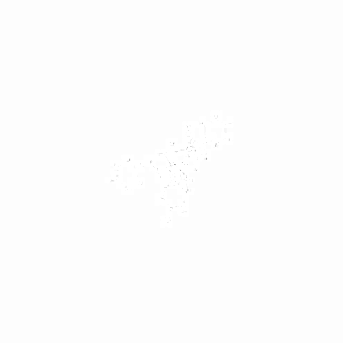 O=C1CC2C(N3CCOCC3)C(CC2C2(OCc3ccccc3)CCC(S(=O)(=O)c3ccccc3)C2)O1